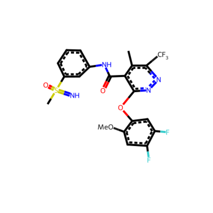 COc1cc(F)c(F)cc1Oc1nnc(C(F)(F)F)c(C)c1C(=O)Nc1cccc(S(C)(=N)=O)c1